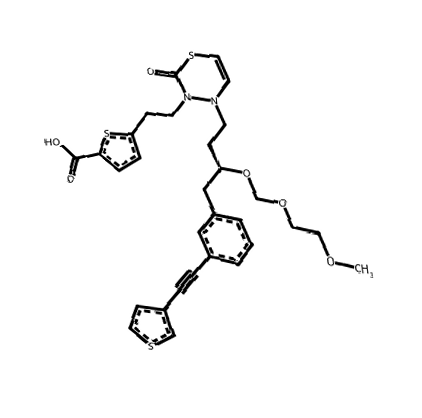 COCCOCO[C@H](CCN1C=CSC(=O)N1CCc1ccc(C(=O)O)s1)Cc1cccc(C#Cc2ccsc2)c1